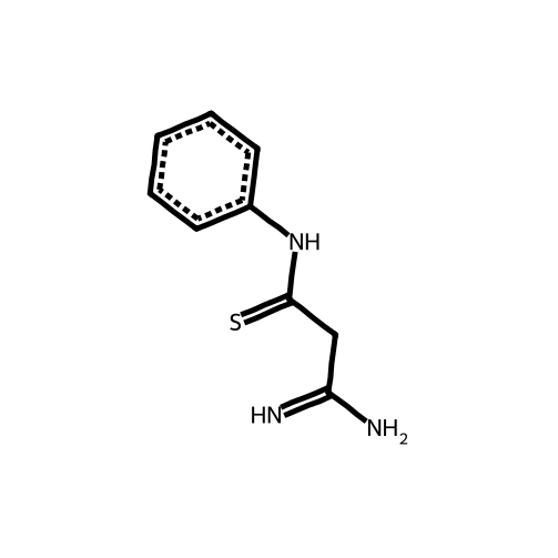 N=C(N)CC(=S)Nc1ccccc1